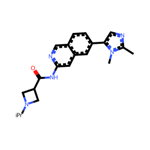 Cc1ncc(-c2ccc3cnc(NC(=O)C4CN(C(C)C)C4)cc3c2)n1C